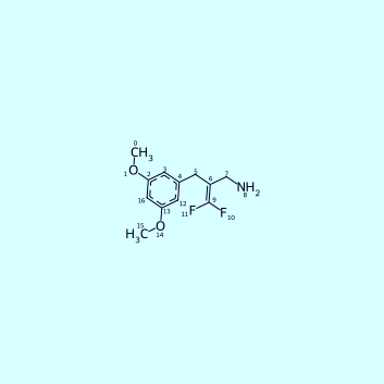 COc1cc(CC(CN)=C(F)F)cc(OC)c1